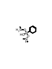 C[SiH2]O[Si](O)(O[SiH](C)C)C1=CC=CCC1